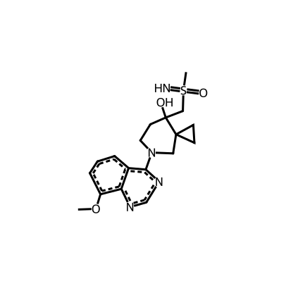 COc1cccc2c(N3CCC(O)(CS(C)(=N)=O)C4(CC4)C3)ncnc12